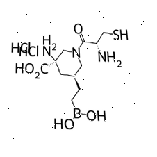 Cl.Cl.N[C@@H](CS)C(=O)N1C[C@@H](CCB(O)O)C[C@](N)(C(=O)O)C1